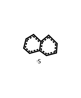 [S].c1ccc2ccccc2c1